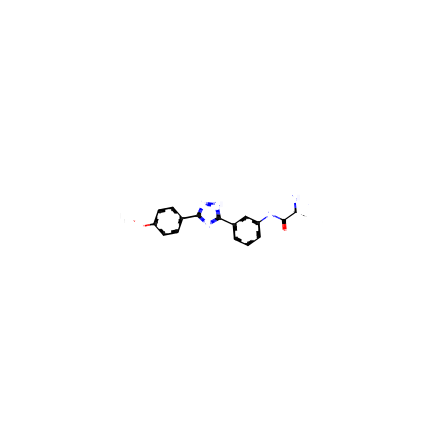 COc1ccc(-c2n[nH]c(-c3cccc(NC(=O)[C@H](C)N)c3)n2)cc1